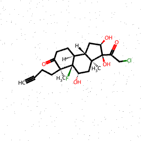 C#CCC[C@@]1(C)C(=O)CC[C@H]2[C@@H]3C[C@@H](O)[C@](O)(C(=O)CCl)[C@@]3(C)C[C@H](O)[C@@]21F